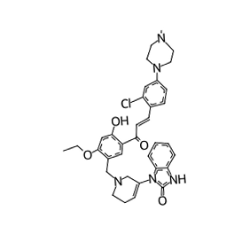 CCOc1cc(O)c(C(=O)/C=C/c2ccc(N3CCN(C)CC3)cc2Cl)cc1CN1CCC=C(n2c(=O)[nH]c3ccccc32)C1